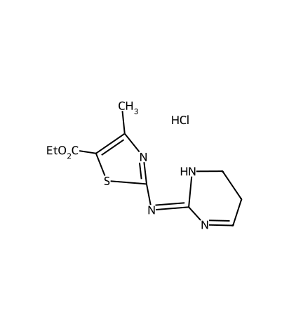 CCOC(=O)c1sc(N=C2N=CCCN2)nc1C.Cl